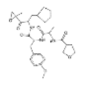 COc1ccc(CC(NC(=O)C(C)NC(=O)C2CCOC2)C(=O)NC(CC2CCCC2)C(=O)C2(C)CO2)cc1